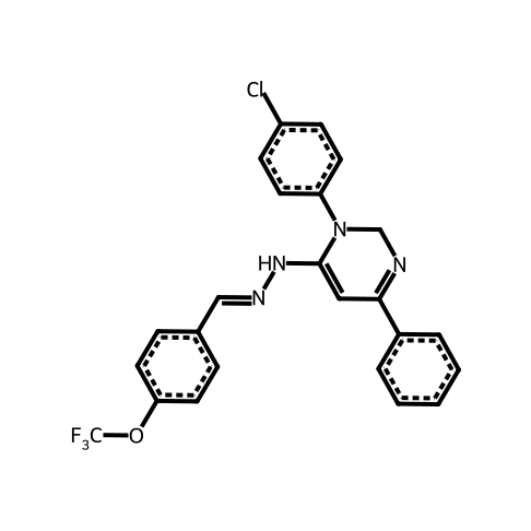 FC(F)(F)Oc1ccc(C=NNC2=CC(c3ccccc3)=NCN2c2ccc(Cl)cc2)cc1